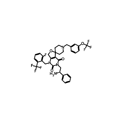 N[C@@H](Cn1c(=O)c2c(n(Cc3c(F)cccc3C(F)(F)F)c1=O)COC21CCN(Cc2cccc(OC(F)(F)F)c2)CC1)c1ccccc1